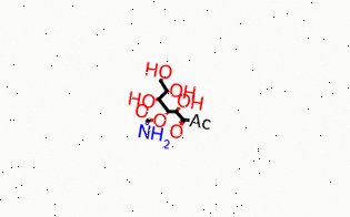 CC(=O)C(=O)C(O)C(OC(N)=O)C(O)C(O)CO